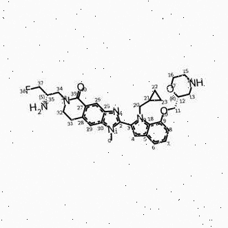 Cn1c(-c2cc3cccc(OC[C@H]4CNCCO4)c3n2CC2CC2)nc2cc3c(cc21)CCN(C[C@H](N)CF)C3=O